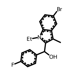 CCn1c(C(O)c2ccc(F)cc2)c(C)c2cc(Br)ccc21